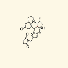 O=C1CCC(=O)N1Cc1cc2nccc(-c3cc(Cl)cc4c3N(C3CNCC3F)CCC4)c2s1